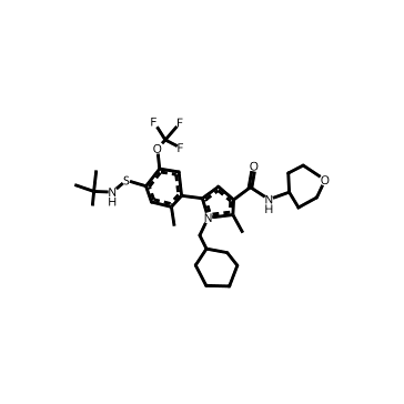 Cc1cc(SNC(C)(C)C)c(OC(F)(F)F)cc1-c1cc(C(=O)NC2CCOCC2)c(C)n1CC1CCCCC1